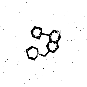 C1=CCN(Cc2ccc3cncc(-c4ccccc4)c3c2)C=C1